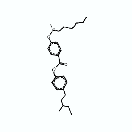 CCCCCC[C@@H](C)Oc1ccc(C(=O)Oc2ccc(CCC(C)CC)cc2)cc1